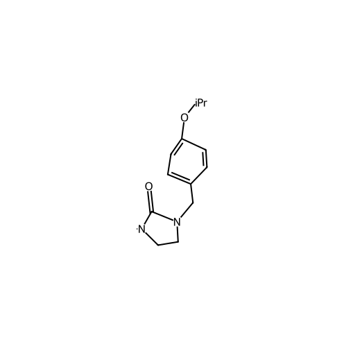 CC(C)Oc1ccc(CN2CC[N]C2=O)cc1